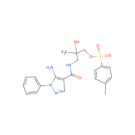 Cc1ccc(S(=O)(=O)OCC(O)(CNC(=O)c2cnn(-c3ccccc3)c2N)C(F)(F)F)cc1